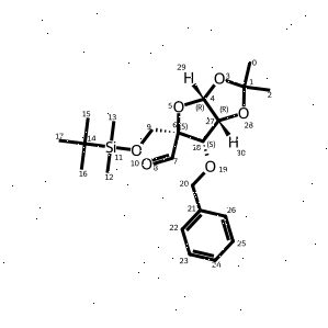 CC1(C)O[C@H]2O[C@@](C=O)(CO[Si](C)(C)C(C)(C)C)[C@@H](OCc3ccccc3)[C@H]2O1